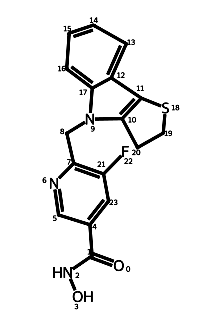 O=C(NO)c1cnc(Cn2c3c(c4ccccc42)SCC3)c(F)c1